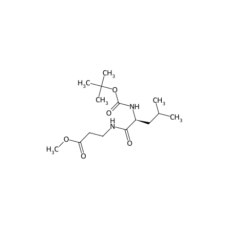 COC(=O)CCNC(=O)[C@H](CC(C)C)NC(=O)OC(C)(C)C